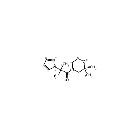 CC1(C)CN(C(=O)C(C)(C)n2c[c]cn2)CCO1